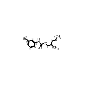 CCCC(C)COC(=O)Nc1ccnc(Br)c1